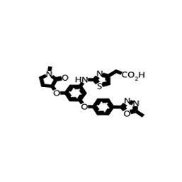 Cc1nnc(-c2ccc(Oc3cc(Nc4nc(CC(=O)O)cs4)cc(OC4CCN(C)C4=O)c3)cc2)o1